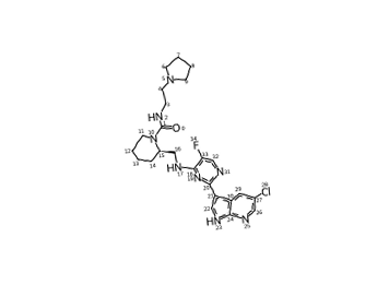 O=C(NCCN1CCCC1)N1CCCC[C@@H]1CNc1nc(-c2c[nH]c3ncc(Cl)cc23)ncc1F